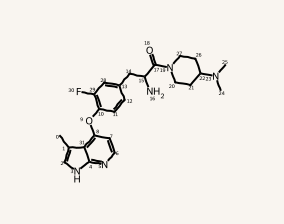 Cc1c[nH]c2nccc(Oc3ccc(CC(N)C(=O)N4CCC(N(C)C)CC4)cc3F)c12